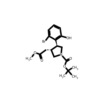 COC(=O)C[C@H]1CN(C(=O)OC(C)(C)C)C[C@@H]1c1c(O)cccc1Br